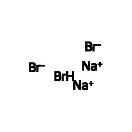 Br.[Br-].[Br-].[Na+].[Na+]